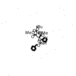 COC(=O)[C@H](C[C@H](Oc1cnccc1NC(=O)OCc1ccccc1)C(=O)OC)NC(=O)OC(C)(C)C